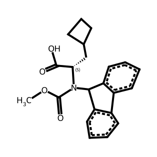 COC(=O)N(C1c2ccccc2-c2ccccc21)[C@@H](CC1CCC1)C(=O)O